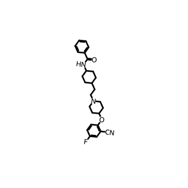 N#Cc1cc(F)ccc1OC1CCN(CCC2CCC(NC(=O)c3ccccc3)CC2)CC1